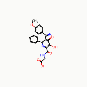 COc1ccc(-c2noc3c(O)c(C(=O)NCC(=O)O)nc(-c4ccccc4)c23)cc1